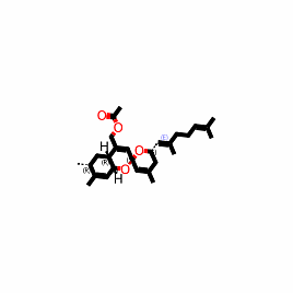 CC(=O)OCC1=C[C@]2(C=C(C)C[C@@H](/C=C(\C)CCC=C(C)C)O2)O[C@@H]2C=C(C)[C@H](C)C[C@H]12